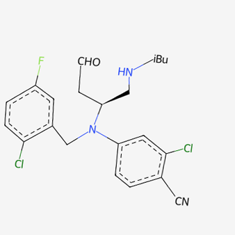 CCC(C)NC[C@H](CC=O)N(Cc1cc(F)ccc1Cl)c1ccc(C#N)c(Cl)c1